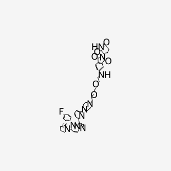 O=C1CCC(N2C(=O)c3ccc(NCCOCCOCCN4CCN(c5cccc(-c6cnc7ccc(N8CCC[C@@H]8c8cccc(F)c8)nn67)n5)CC4)cc3C2=O)C(=O)N1